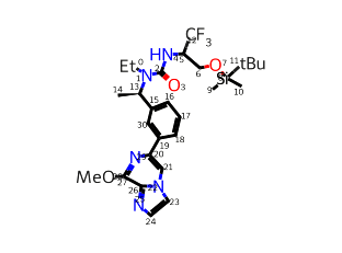 CCN(C(=O)NC(CO[Si](C)(C)C(C)(C)C)C(F)(F)F)[C@H](C)c1cccc(-c2cn3ccnc3c(OC)n2)c1